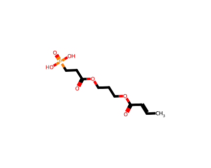 CC=CC(=O)OCCCOC(=O)CCP(=O)(O)O